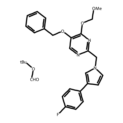 CC(C)(C)OC=O.COCOc1nc(Cn2ccc(-c3ccc(F)cc3)c2)ncc1OCc1ccccc1